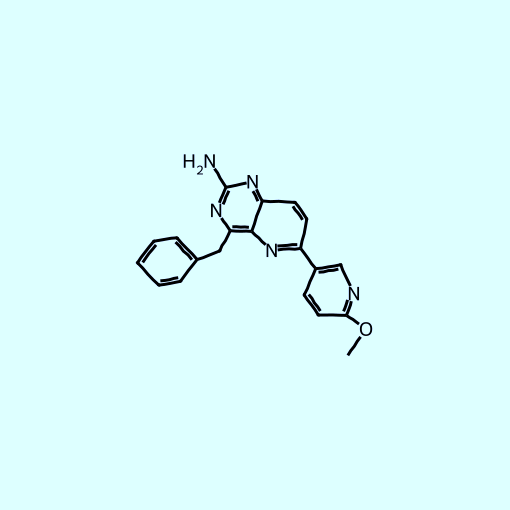 COc1ccc(-c2ccc3nc(N)nc(Cc4ccccc4)c3n2)cn1